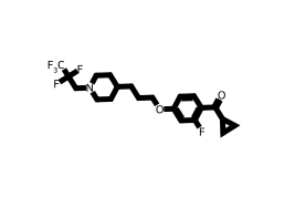 O=C(c1ccc(OCCCC2CCN(CC(F)(F)C(F)(F)F)CC2)cc1F)C1CC1